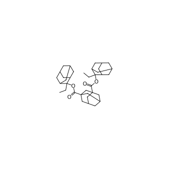 CCC1(OC(=O)C23CC4CC(C2)CC(C(=O)OC2(CC)C5CC6CC(C5)CC2C6)(C4)C3)C2CC3CC(C2)CC1C3